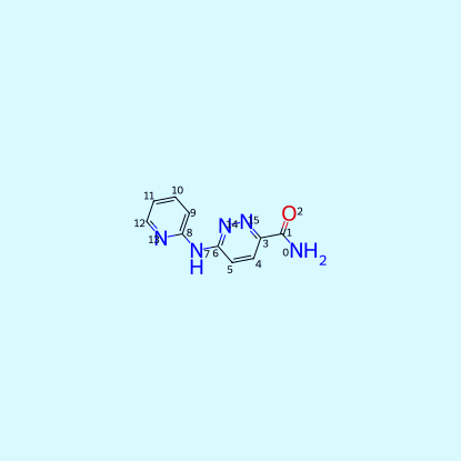 NC(=O)c1ccc(Nc2ccccn2)nn1